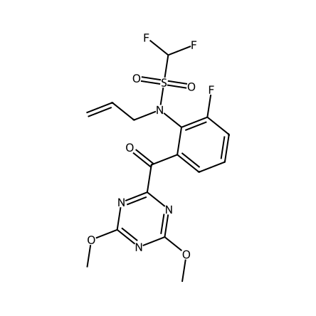 C=CCN(c1c(F)cccc1C(=O)c1nc(OC)nc(OC)n1)S(=O)(=O)C(F)F